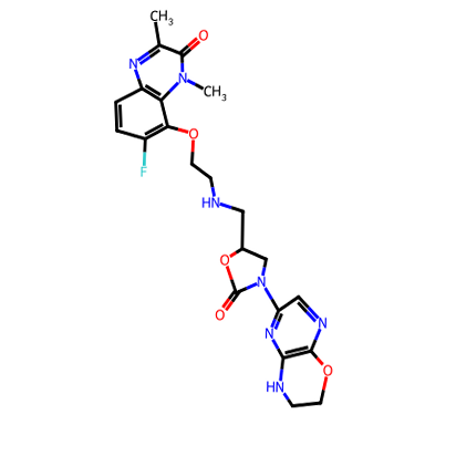 Cc1nc2ccc(F)c(OCCNCC3CN(c4cnc5c(n4)NCCO5)C(=O)O3)c2n(C)c1=O